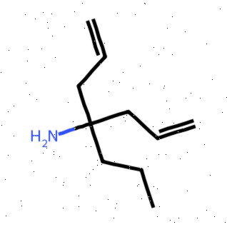 C=CCC(N)(CC=C)CCC